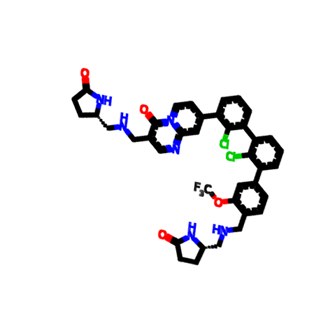 O=C1CC[C@@H](CNCc2ccc(-c3cccc(-c4cccc(-c5ccn6c(=O)c(CNC[C@@H]7CCC(=O)N7)cnc6c5)c4Cl)c3Cl)cc2OC(F)(F)F)N1